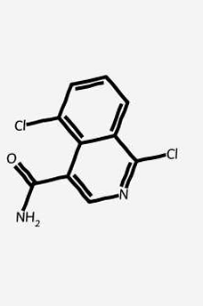 NC(=O)c1cnc(Cl)c2cccc(Cl)c12